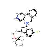 Fc1ccc(C2(CCNCc3ccccc3-c3ccncc3)CCOC3(CCCC3)C2)cc1